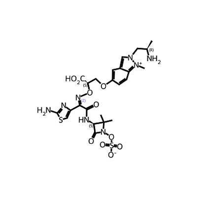 C[C@@H](N)Cn1cc2cc(OC[C@H](O/N=C(\C(=O)N[C@@H]3C(=O)N(OS(=O)(=O)[O-])C3(C)C)c3csc(N)n3)C(=O)O)ccc2[n+]1C